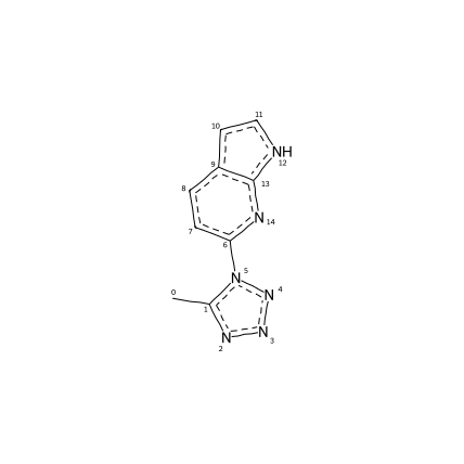 Cc1nnnn1-c1ccc2cc[nH]c2n1